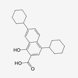 O=C(O)c1cc(C2CCCCC2)c2ccc(C3CCCCC3)cc2c1O